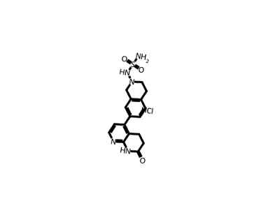 Cl.NS(=O)(=O)NN1CCc2ccc(-c3ccnc4c3CCC(=O)N4)cc2C1